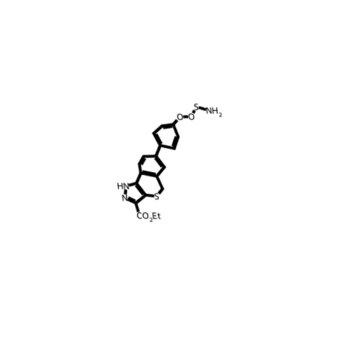 CCOC(=O)c1n[nH]c2c1SCc1cc(-c3ccc(OOSN)cc3)ccc1-2